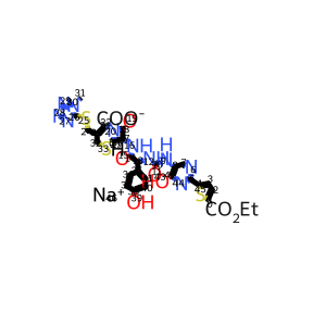 CCOC(=O)c1ccc(-c2ncc(NC(=O)NC(C(=O)NC3C(=O)N4C(C(=O)[O-])=C(CSc5nnnn5C)CS[C@@H]34)c3ccc(O)cc3)c(O)n2)s1.[Na+]